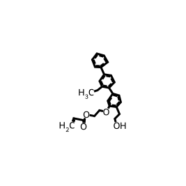 C=CC(=O)OCCOc1cc(-c2ccc(-c3ccccc3)cc2CC)ccc1CCO